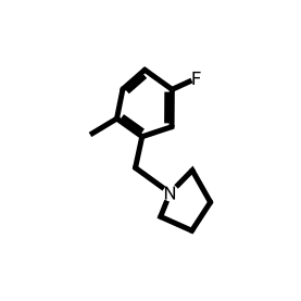 Cc1ccc(F)cc1CN1CCCC1